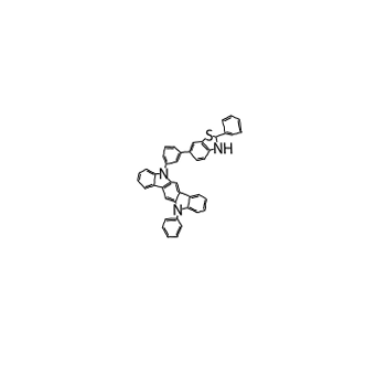 c1ccc(C2Nc3ccc(-c4cccc(-n5c6ccccc6c6cc7c(cc65)c5ccccc5n7-c5ccccc5)c4)cc3S2)cc1